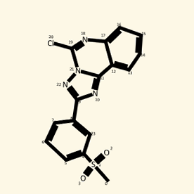 CS(=O)(=O)c1cccc(-c2nc3c4ccccc4nc(Cl)n3n2)c1